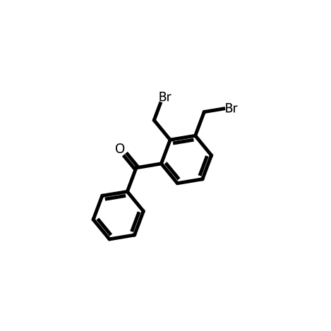 O=C(c1ccccc1)c1cccc(CBr)c1CBr